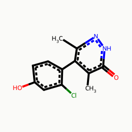 Cc1n[nH]c(=O)c(C)c1-c1ccc(O)cc1Cl